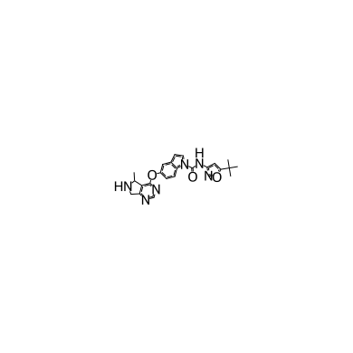 CC1NCc2ncnc(Oc3ccc4c(ccn4C(=O)Nc4cc(C(C)(C)C)on4)c3)c21